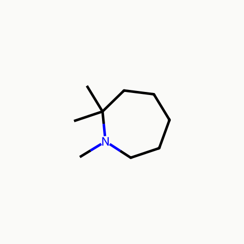 CN1CCCCCC1(C)C